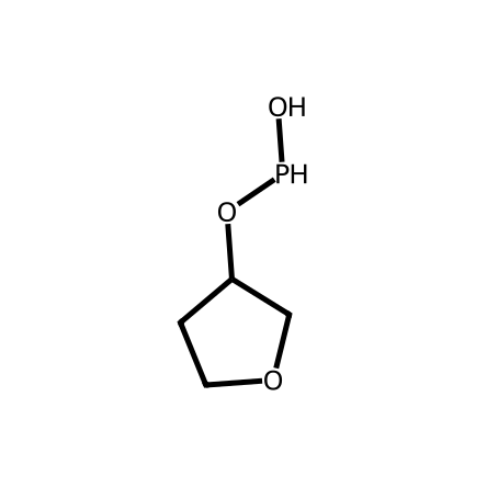 OPOC1CCOC1